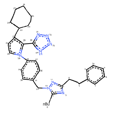 CCCCc1nc(CCc2ccccc2)nn1Cc1ccc(-n2ccc(C3CCCCC3)c2-c2nnn[nH]2)cc1